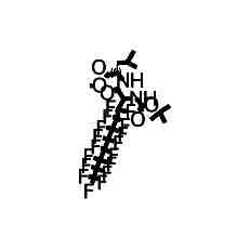 COC(=O)[C@H](CC(C)C)NC(=O)C(NC(=O)OC(C)(C)C)C(F)(F)C(F)(F)C(F)(F)C(F)(F)C(F)(F)C(F)(F)C(F)(F)C(F)(F)F